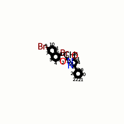 CC(Oc1ccc2cc(Br)ccc2c1Br)N1N=C(c2ccccc2)CC1=O